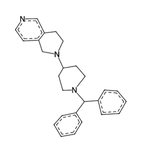 c1ccc(C(c2ccccc2)N2CCC(N3CCc4cnccc4C3)CC2)cc1